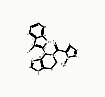 O=C(c1ccnn1C(F)(F)F)N1CCc2[nH]cnc2[C@H]1c1oc2ccccc2c1F